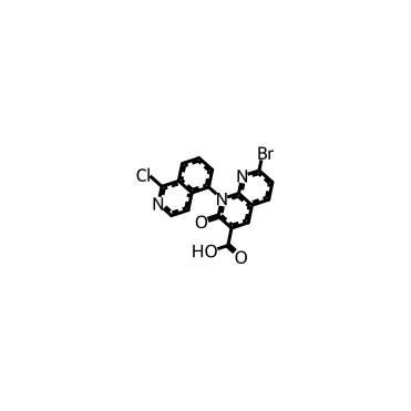 O=C(O)c1cc2ccc(Br)nc2n(-c2cccc3c(Cl)nccc23)c1=O